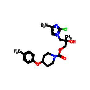 CC(O)(COC(=O)N1CCC(Oc2ccc(C(F)(F)F)cc2)CC1)Cn1cc([N+](=O)[O-])nc1Cl